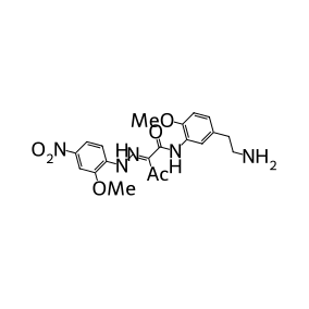 COc1cc([N+](=O)[O-])ccc1N/N=C(\C(C)=O)C(=O)Nc1cc(CCN)ccc1OC